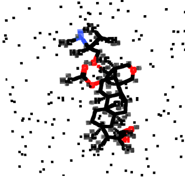 CN[C@@](C)(CO[C@H]1[C@H](OC(C)=O)C[C@@]23COC[C@@]1(C)[C@@H]2CC[C@H]1C3=CC[C@@]2(C)[C@H](C(=O)O)[C@@](C)([C@H](C)C(C)C)CC[C@]12C)C(C)C